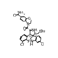 CC(C)(C)C[C@@H]1N[C@@H](C(=O)N2CCOc3cc(C(N)=O)ccc32)[C@H](c2cccc(Cl)c2F)[C@]12CNc1cc(Cl)ccc12